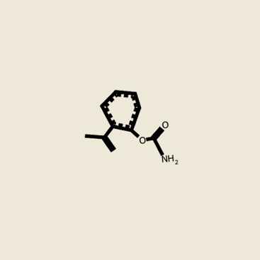 C=C(C)c1ccccc1OC(N)=O